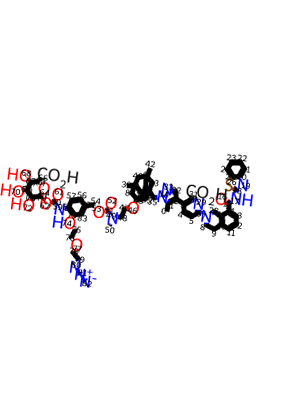 Cc1c(-c2ccc(N3CCc4cccc(C(=O)Nc5nc6ccccc6s5)c4C3)nc2C(=O)O)cnn1CC12CC3(C)CC(C)(C1)CC(OCCN(C)C(=O)OCc1ccc(NC(=O)O[C@@H]4O[C@H](C(=O)O)[C@@H](O)[C@H](O)[C@H]4O)c(OCCOCCN=[N+]=[N-])c1)(C3)C2